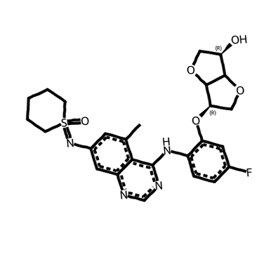 Cc1cc(N=S2(=O)CCCCC2)cc2ncnc(Nc3ccc(F)cc3O[C@@H]3COC4C3OC[C@H]4O)c12